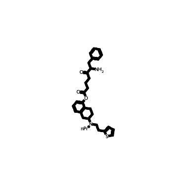 CCCN(CCc1cccs1)C1CCc2c(cccc2OC(=O)CCCC(=O)C(N)Cc2ccccc2)C1